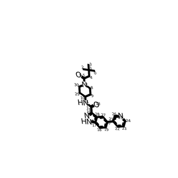 CC(C)(C)CC(=O)N1CCC(NC(=O)c2n[nH]c3ccc(-c4cccnc4)cc23)CC1